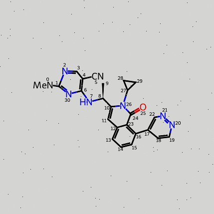 CNc1ncc(C#N)c(N[C@@H](C)c2cc3cccc(-c4ccnnc4)c3c(=O)n2C2CC2)n1